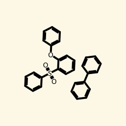 O=S(=O)(c1ccccc1)c1ccccc1Oc1ccccc1.c1ccc(-c2ccccc2)cc1